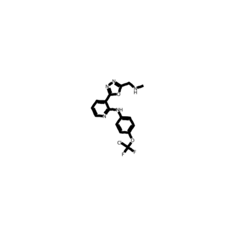 CNCc1nnc(-c2cccnc2Nc2ccc(OC(F)(F)Cl)cc2)o1